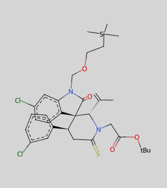 C=C(C)[C@@H]1N(CC(=O)OC(C)(C)C)C(=S)C[C@@H](c2cccc(Cl)c2)[C@]12C(=O)N(COCC[Si](C)(C)C)c1cc(Cl)ccc12